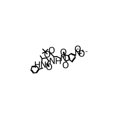 CC(C)CC(NC(CCN1C(=O)c2ccc([N+](=O)[O-])cc2C1=O)C(=O)OC(C)(C)C)C(=O)NCc1ccccc1